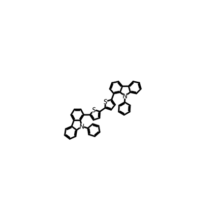 c1ccc(-n2c3ccccc3c3cccc(-c4ccc(-c5ccc(-c6cccc7c8ccccc8n(-c8ccccc8)c67)s5)s4)c32)cc1